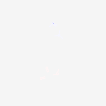 CS(=O)(=O)Oc1ccc(Cn2c(C(F)(F)F)nc3ccccc32)cc1